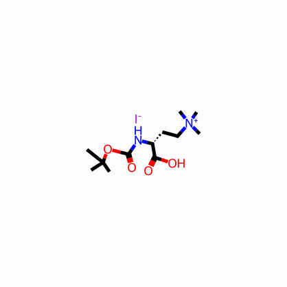 CC(C)(C)OC(=O)N[C@H](CC[N+](C)(C)C)C(=O)O.[I-]